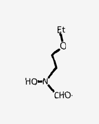 CCOCCN(O)[C]=O